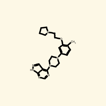 Cc1ccc(N2CCN(c3ncnc4[nH]ncc34)CC2)cc1OCCN1CCCC1